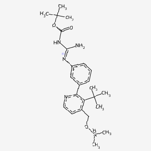 C[SiH](C)OCc1ccnc(-c2cccc(/N=C(\N)NC(=O)OC(C)(C)C)c2)c1C(C)(C)C